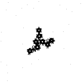 c1ccc(-c2ccc(N(c3ccc(-c4cccc5c4oc4ccccc45)cc3)c3cccc4c3oc3ccc5nc(-c6ccccc6)oc5c34)cc2)cc1